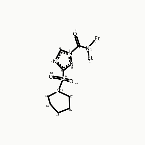 CCN(CC)C(=O)n1cnc(S(=O)(=O)N2CCCCC2)n1